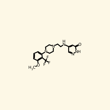 COc1cccc(N2CCN(CCNc3cn[nH]c(=O)c3)CC2)c1C(F)(F)F